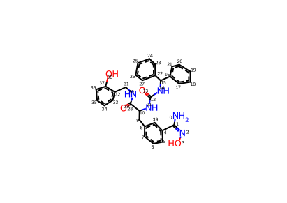 N/C(=N/O)c1cccc(CC(NC(=O)NC(c2ccccc2)c2ccccc2)C(=O)NCc2ccccc2O)c1